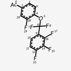 CC(=O)c1ccc(OC(F)(F)c2ccc(F)c(F)c2F)c(F)c1